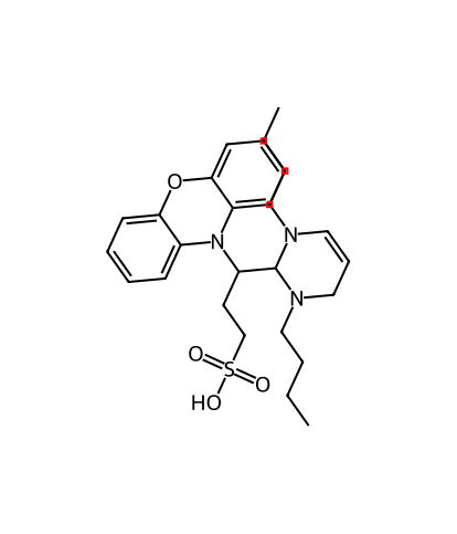 CCCCN1C=CCN(CCCC)C1C(CCS(=O)(=O)O)N1c2ccccc2Oc2ccccc21